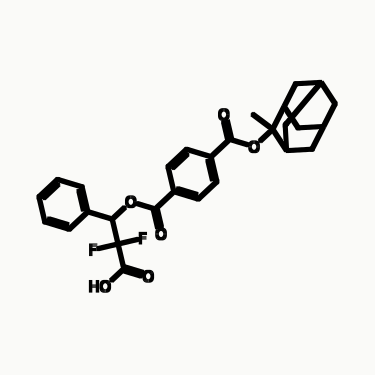 CC1(OC(=O)c2ccc(C(=O)OC(c3ccccc3)C(F)(F)C(=O)O)cc2)C2CC3CC(C2)CC1C3